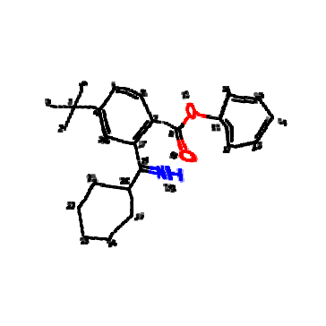 CC(C)(C)c1ccc(C(=O)Oc2ccccc2)c(C(=N)C2CCCCC2)c1